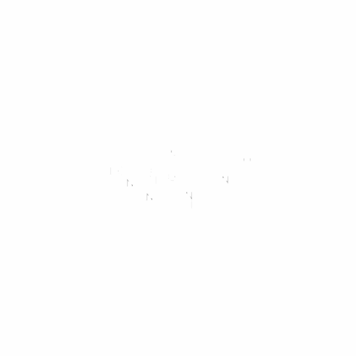 Cc1n(C)cc[n+]1CC(=O)NCCN1CCOCC1.[Cl-]